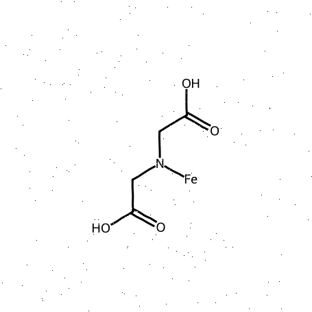 O=C(O)C[N]([Fe])CC(=O)O